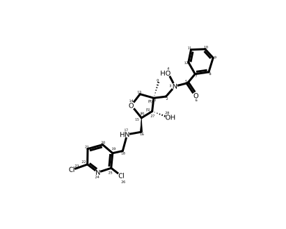 C[C@@]1(CN(O)C(=O)c2ccccc2)CO[C@H](CNCc2ccc(Cl)nc2Cl)[C@H]1O